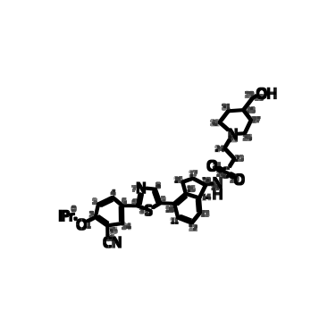 CC(C)Oc1ccc(-c2ncc(-c3cccc4c3CC[C@H]4NS(=O)(=O)CCN3CCC(CO)CC3)s2)cc1C#N